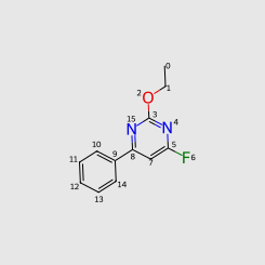 CCOc1nc(F)cc(-c2ccccc2)n1